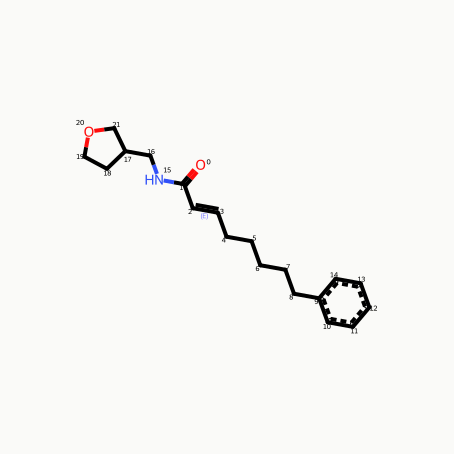 O=C(/C=C/CCCCCc1ccccc1)NCC1CCOC1